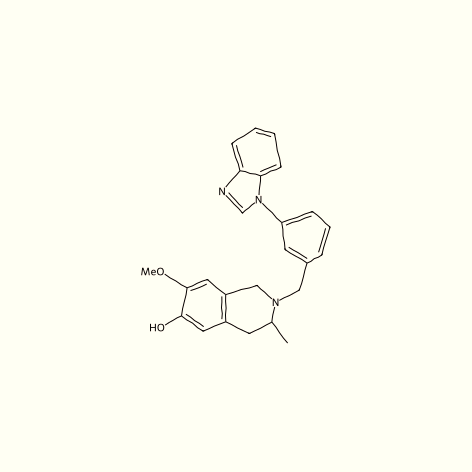 COc1cc2c(cc1O)CC(C)N(Cc1cccc(-n3cnc4ccccc43)c1)C2